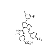 C[C@@H](NC(=O)c1ccc(-c2cc(F)cc(F)c2)c2ccn(Cc3ccc(C(F)(F)F)cc3)c12)c1ccc(C(=O)O)cc1